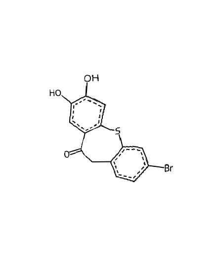 O=C1Cc2ccc(Br)cc2Sc2cc(O)c(O)cc21